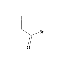 O=C(Br)CI